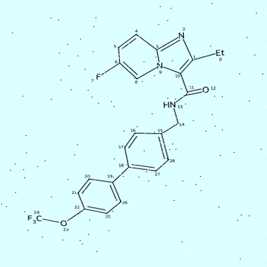 CCc1nc2ccc(F)cn2c1C(=O)NCc1ccc(-c2ccc(OC(F)(F)F)cc2)cc1